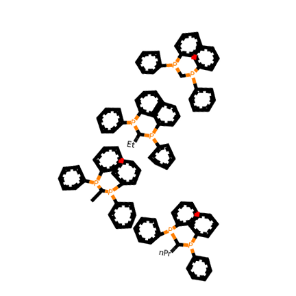 CC(P(c1ccccc1)c1ccccc1)P(c1ccccc1)c1ccccc1.CCC(P(c1ccccc1)c1ccccc1)P(c1ccccc1)c1ccccc1.CCCC(P(c1ccccc1)c1ccccc1)P(c1ccccc1)c1ccccc1.c1ccc(P(CP(c2ccccc2)c2ccccc2)c2ccccc2)cc1